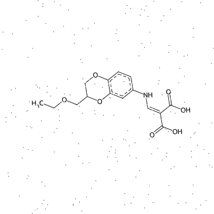 CCOCC1COc2ccc(NC=C(C(=O)O)C(=O)O)cc2O1